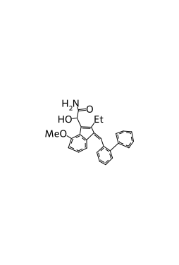 CCC1=C(C(O)C(N)=O)c2c(OC)cccc2C1=Cc1ccccc1-c1ccccc1